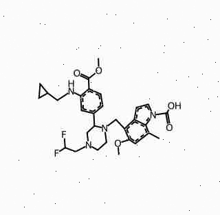 COC(=O)c1ccc(C2CN(CC(F)F)CCN2Cc2c(OC)cc(C)c3c2ccn3C(=O)O)cc1NCC1CC1